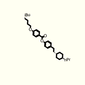 CCC[C@H]1CC[C@H](CCc2ccc(OC(=O)c3ccc(OCCCC[C@@H](C)CC)cc3)cc2)CC1